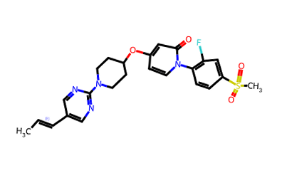 C/C=C/c1cnc(N2CCC(Oc3ccn(-c4ccc(S(C)(=O)=O)cc4F)c(=O)c3)CC2)nc1